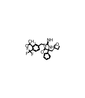 CC(=O)c1cc(CN2C(=N)NC(C[C@@H]3CCOC3)(c3ccccc3)C2=O)ccc1C(F)(F)F